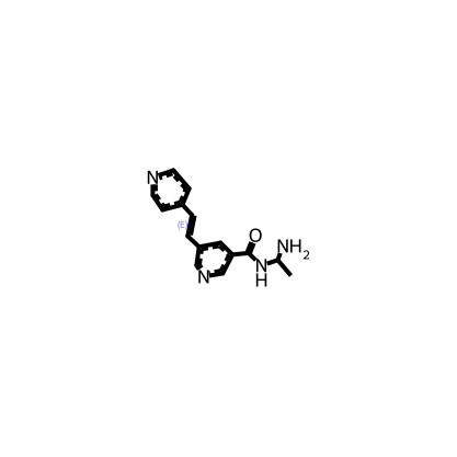 CC(N)NC(=O)c1cncc(/C=C/c2ccncc2)c1